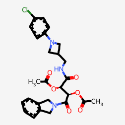 CC(=O)O[C@@H](C(=O)NCC1CN(c2ccc(Cl)cc2)C1)[C@@H](OC(C)=O)C(=O)N1Cc2ccccc2C1